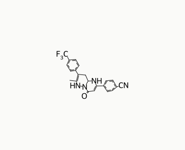 CC1=C(c2ccc(C(F)(F)F)cc2)CC2NC(c3ccc(C#N)cc3)=CC(=O)N2N1